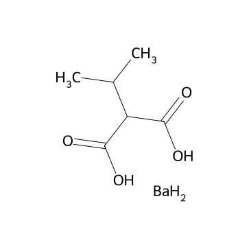 CC(C)C(C(=O)O)C(=O)O.[BaH2]